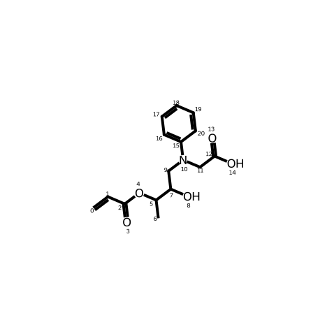 C=CC(=O)OC(C)C(O)CN(CC(=O)O)c1ccccc1